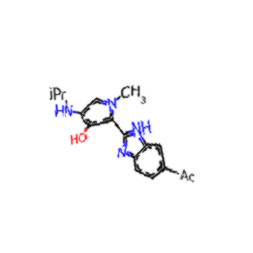 CC(=O)c1ccc2nc(-c3c(O)c(NC(C)C)cn3C)[nH]c2c1